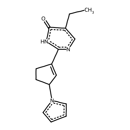 CCc1cnc(C2=CC(n3cccc3)CC2)[nH]c1=O